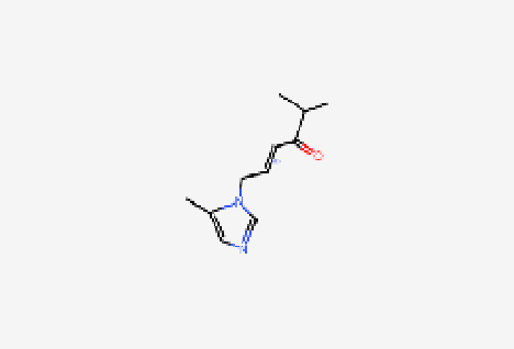 Cc1cncn1C/C=C/C(=O)C(C)C